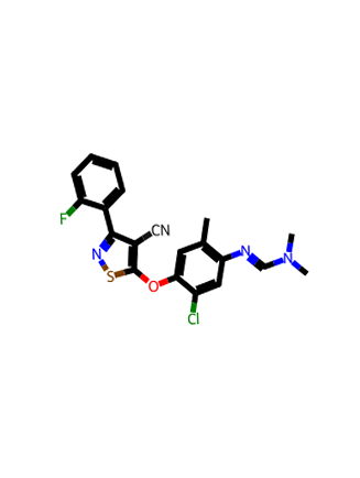 Cc1cc(Oc2snc(-c3ccccc3F)c2C#N)c(Cl)cc1N=CN(C)C